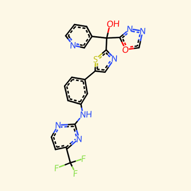 OC(c1cccnc1)(c1nnco1)c1ncc(-c2cccc(Nc3nccc(C(F)(F)F)n3)c2)s1